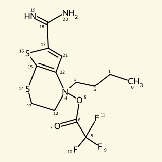 CCCC[N+]1(OC(=O)C(F)(F)F)CCSc2sc(C(=N)N)cc21